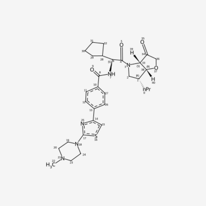 CCC[C@@H]1CN(C(=O)[C@@H](NC(=O)c2ccc(-c3csc(N4CCN(C)CC4)n3)cc2)C2CCCC2)[C@@H]2C(=O)CO[C@H]12